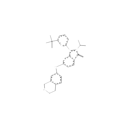 CC(C)n1c(=O)c2ccc(Nc3ccc4c(c3)CNCC4)nc2n1-c1cccc(C(C)(C)O)n1